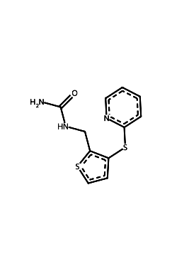 NC(=O)NCc1sccc1Sc1ccccn1